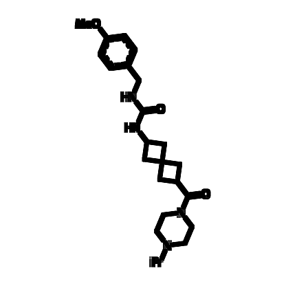 COc1ccc(CNC(=O)NC2CC3(C2)CC(C(=O)N2CCN(C(C)C)CC2)C3)cc1